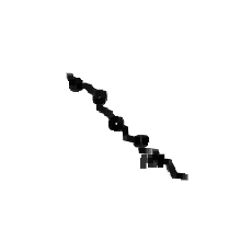 CCCNCCOCCOCCOCCOC